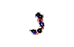 Cc1ccc(Oc2ccc(OC3CCN(C(=O)Oc4ccc5cccnc5c4)CC3)cc2)nc1